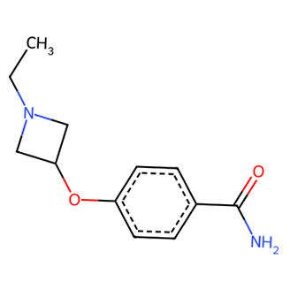 CCN1CC(Oc2ccc(C(N)=O)cc2)C1